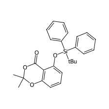 CC1(C)OC(=O)c2c(cccc2O[Si](c2ccccc2)(c2ccccc2)C(C)(C)C)O1